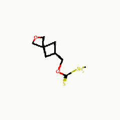 C[SH2]C(=S)OCC1CC2(COC2)C1